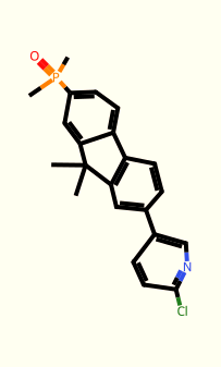 CC1(C)c2cc(-c3ccc(Cl)nc3)ccc2-c2ccc(P(C)(C)=O)cc21